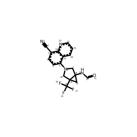 N#Cc1ccc(N2CC3(NC=O)CC3(C(F)(F)F)C2)c2cccnc12